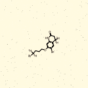 [2H]C([2H])(Br)CCCOc1cc2c(cc1Br)C([2H])([2H])CC(=O)N2